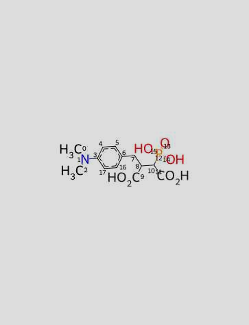 CN(C)c1ccc(CC(C(=O)O)C(C(=O)O)P(=O)(O)O)cc1